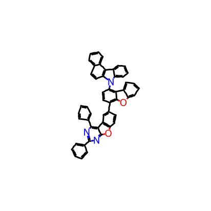 c1ccc(-c2nc(-c3ccccc3)c3c(n2)oc2ccc(-c4ccc(-n5c6ccccc6c6c7ccccc7ccc65)c5c4oc4ccccc45)cc23)cc1